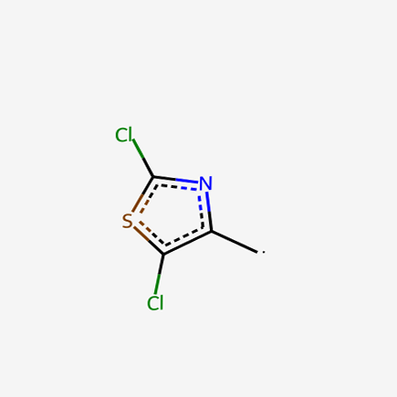 [CH2]c1nc(Cl)sc1Cl